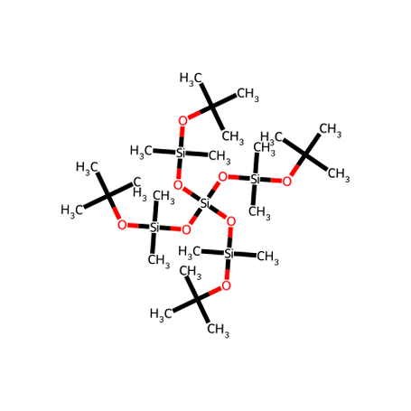 CC(C)(C)O[Si](C)(C)O[Si](O[Si](C)(C)OC(C)(C)C)(O[Si](C)(C)OC(C)(C)C)O[Si](C)(C)OC(C)(C)C